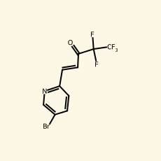 O=C(/C=C/c1ccc(Br)cn1)C(F)(F)C(F)(F)F